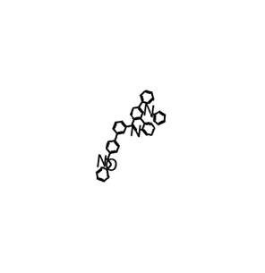 c1ccc(-n2c3ccccc3c3ccc4c(-c5cccc(-c6ccc(-c7nc8ccccc8o7)cc6)c5)nc5ccccc5c4c32)cc1